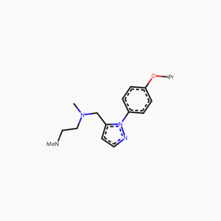 CNCCN(C)Cc1ccnn1-c1ccc(OC(C)C)cc1